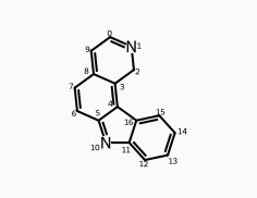 C1=NCc2c3c(ccc2=C1)=Nc1ccccc1-3